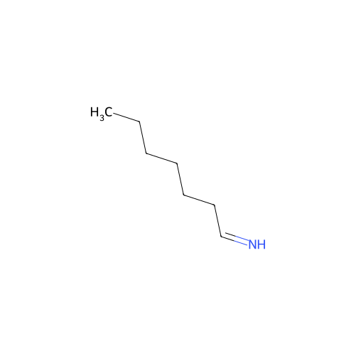 CCCCCCC=N